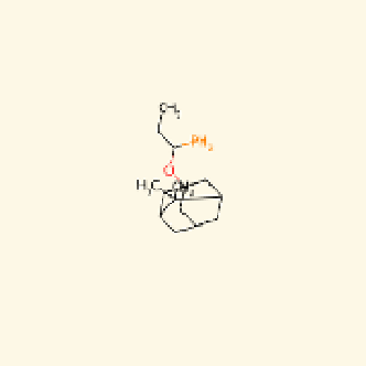 CCC(P)OC12CC3CC(C1)C(C)(C)C(C3)C2